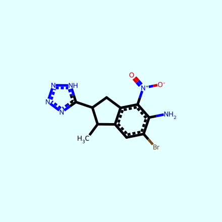 CC1c2cc(Br)c(N)c([N+](=O)[O-])c2CC1c1nnn[nH]1